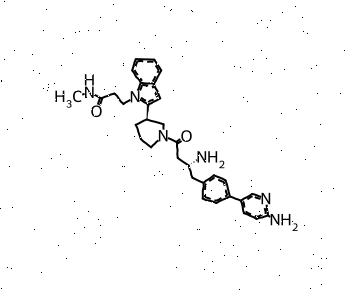 CNC(=O)CCn1c([C@@H]2CCCN(C(=O)C[C@H](N)Cc3ccc(-c4ccc(N)nc4)cc3)C2)cc2ccccc21